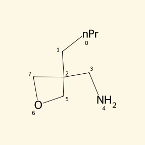 CCCCC1(CN)COC1